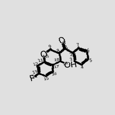 O=C(c1ccccc1)C1COc2cc(F)ccc2C1O